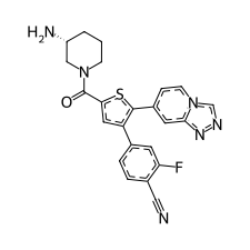 N#Cc1ccc(-c2cc(C(=O)N3CCC[C@@H](N)C3)sc2-c2ccn3cnnc3c2)cc1F